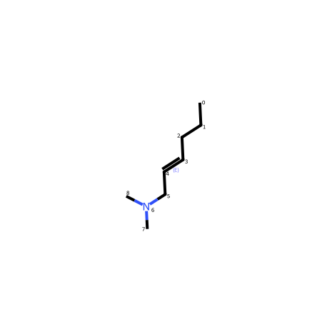 CCC/C=C/CN(C)C